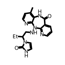 CCC(CNN1c2ncccc2C(=O)Nc2c(C)ccnc21)n1cc[nH]c1=O